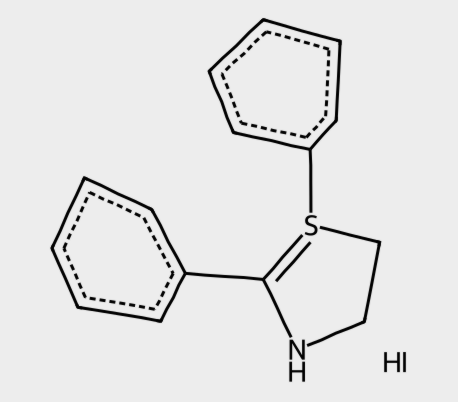 I.c1ccc(C2=S(c3ccccc3)CCN2)cc1